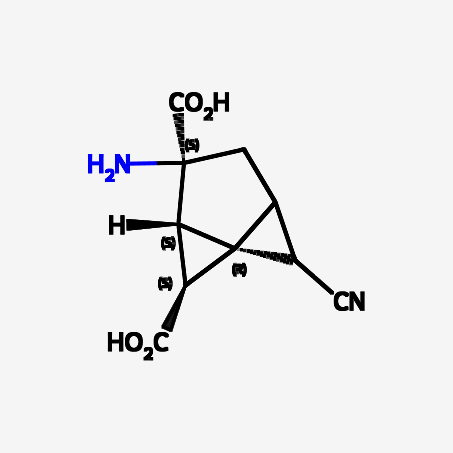 N#CC1C2C[C@@](N)(C(=O)O)[C@H]3[C@H](C(=O)O)[C@]123